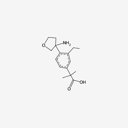 CCc1cc(C(C)(C)C(=O)O)ccc1C1(N)CCOC1